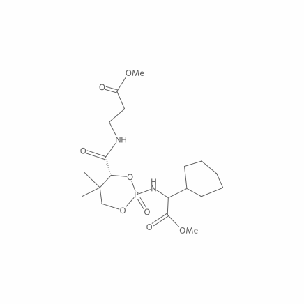 COC(=O)CCNC(=O)[C@@H]1OP(=O)(NC(C(=O)OC)C2CCCCC2)OCC1(C)C